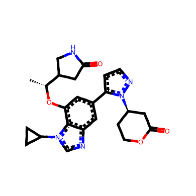 C[C@@H](Oc1cc(-c2ccnn2[C@@H]2CCOC(=O)C2)cc2ncn(C3CC3)c12)C1CNC(=O)C1